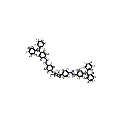 C[Si](C)(O[Si](C)(C)c1ccc(/C=C/c2ccc(N(c3ccccc3)c3ccccc3)cc2)cc1)c1ccc(/C=C/c2ccc(N(c3ccccc3)c3ccccc3)cc2)cc1